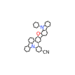 N#Cc1ccc(-n2c3ccccc3c3ccccc32)c(-c2ccc3oc4c(ccc5c6ccccc6n(-c6ccccc6)c54)c3c2)c1